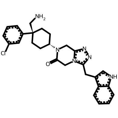 NC[C@]1(c2cccc(Cl)c2)CC[C@@H](N2Cc3nnc(Cc4c[nH]c5ccccc45)n3CC2=O)CC1